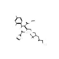 CCOC(=O)C1=C(CN2CC(CC(=O)C(=O)O)C(F)(F)C2)NC(c2nccs2)=NC1c1ccc(F)cc1Br